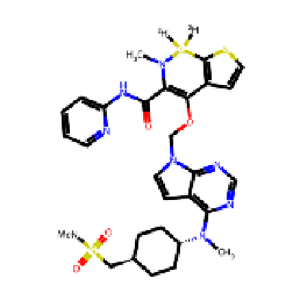 [2H]S1([2H])c2sccc2C(OCn2ccc3c(N(C)[C@H]4CC[C@H](CS(=O)(=O)NC)CC4)ncnc32)=C(C(=O)Nc2ccccn2)N1C